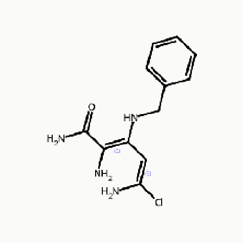 NC(=O)/C(N)=C(/C=C(\N)Cl)NCc1ccccc1